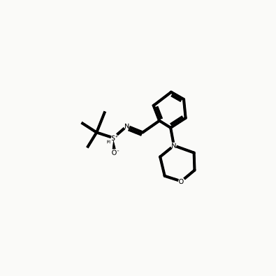 CC(C)(C)[S@+]([O-])N=Cc1ccccc1N1CCOCC1